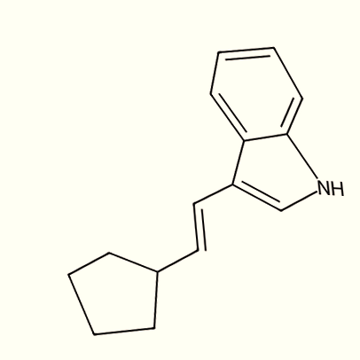 C(=CC1CCCC1)c1c[nH]c2ccccc12